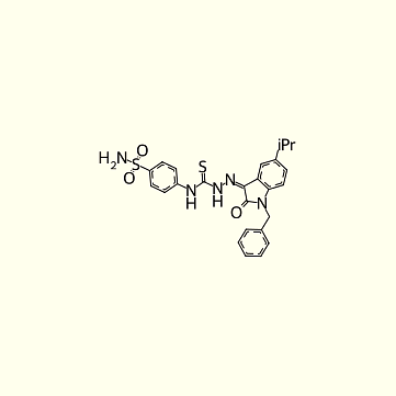 CC(C)c1ccc2c(c1)C(=NNC(=S)Nc1ccc(S(N)(=O)=O)cc1)C(=O)N2Cc1ccccc1